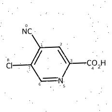 N#Cc1cc(C(=O)O)ncc1Cl